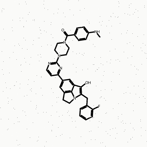 CNc1ccc(C(=O)N2CCN(c3nccc(-c4cc5c6c(c4)c(O)c(Cc4ccccc4F)n6CC5)n3)CC2)cc1